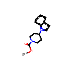 CC(C)(C)OC(=O)N1CCC(n2ccc3ccccc32)CC1